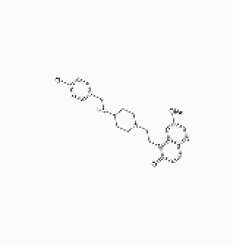 COc1cnc2ccc(=O)n(CCN3CCC(NCc4ccc(Cl)cc4)CC3)c2c1